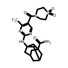 NC(=O)C12CC3CC(CC(Nc4ncc(C(=O)N5CCS(=O)(=O)CC5)c(C(F)(F)F)n4)(C3)C1)C2